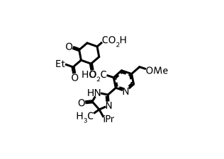 CCC(=O)C1C(=O)CC(C(=O)O)CC1=O.COCc1cnc(C2=NC(C)(C(C)C)C(=O)N2)c(C(=O)O)c1